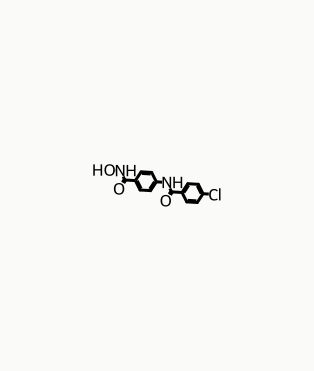 O=C(NO)c1ccc(NC(=O)c2ccc(Cl)cc2)cc1